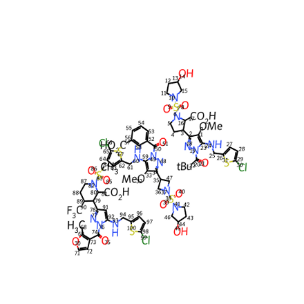 COc1c(C2CCN(S(=O)(=O)N3CCC(O)C3)C2C(=O)O)nn(C(=O)C(C)(C)C)c1NCc1ccc(Cl)s1.COc1c(C2CN(S(=O)(=O)N3CCC(O)C3)C2)nn(C(=O)c2cccc(C(=O)O)c2)c1NCc1ccc(Cl)s1.Cc1occc1C(=O)n1nc(C2C(C(=O)O)N(S(C)(=O)=O)CCC2C(F)(F)F)cc1NCc1ccc(Cl)s1